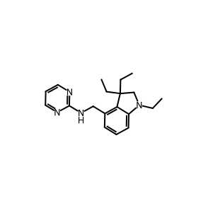 CCN1CC(CC)(CC)c2c(CNc3ncccn3)cccc21